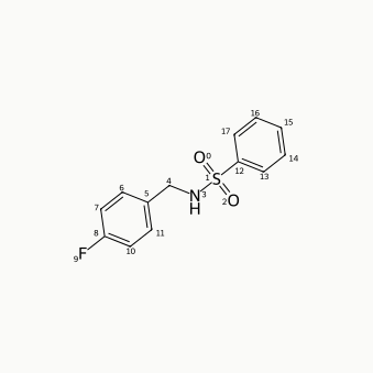 O=S(=O)(NCc1ccc(F)cc1)c1ccccc1